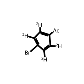 [2H]c1c([2H])c(C(C)=O)c([2H])c([2H])c1Br